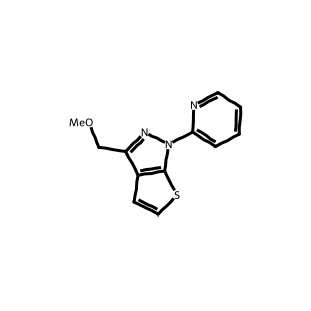 COCc1nn(-c2ccccn2)c2s[c]cc12